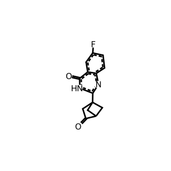 O=C1CC2(c3nc4ccc(F)cc4c(=O)[nH]3)CC1C2